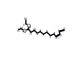 C=C/C=C\CCCCCCCCC(OCC)OCC